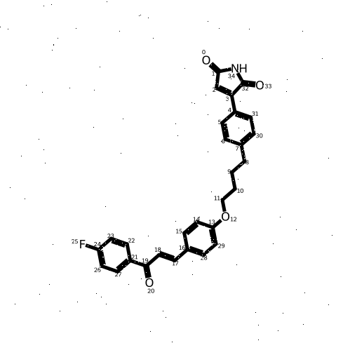 O=C1C=C(c2ccc(CCCCOc3ccc(C=CC(=O)c4ccc(F)cc4)cc3)cc2)C(=O)N1